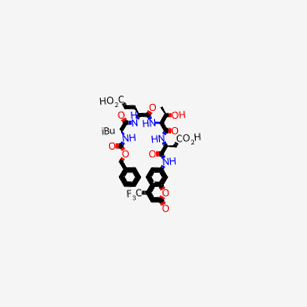 CC[C@H](C)[C@H](NC(=O)OCc1ccccc1)C(=O)N[C@@H](CCC(=O)O)C(=O)N[C@H](C(=O)N[C@@H](CC(=O)O)C(=O)Nc1ccc2c(C(F)(F)F)cc(=O)oc2c1)[C@@H](C)O